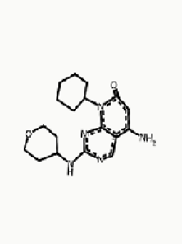 Nc1cc(=O)n(C2CCCCC2)c2nc(NC3CCOCC3)ncc12